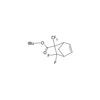 CC(C)(C)OC(=O)C1(C(F)(F)F)C2C=CC(C2)C1(F)F